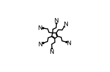 N#CCCC1=C(CCC#N)C(CCC#N)(CCC#N)C(CCC#N)=C1CCC#N